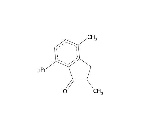 CCCc1ccc(C)c2c1C(=O)C(C)C2